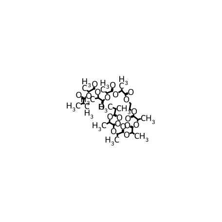 CC(C)C(=O)OC(C)C(=O)OC(C)C(=O)OC(C)C(=O)OC(C)C(=O)OCCOC(=O)C(C)OC(=O)C(C)OC(=O)C(C)OC(=O)C(C)OC(=O)C(C)C